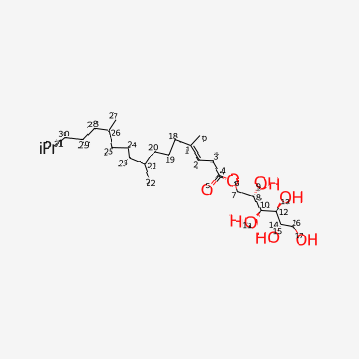 CC(=CCC(=O)OC[C@H](O)[C@H](O)[C@@H](O)[C@@H](O)CO)CCCC(C)CCCC(C)CCCC(C)C